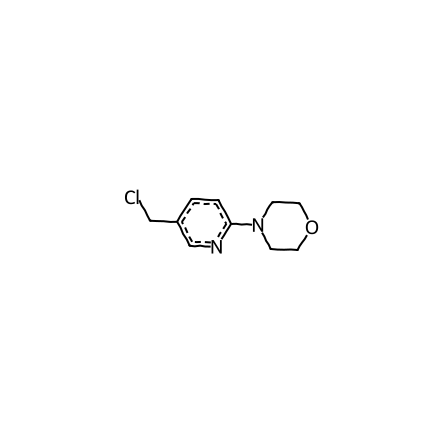 ClCc1ccc(N2CCOCC2)nc1